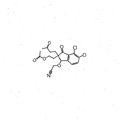 CC(=O)CCC1(CCOC(C)=O)C(=O)c2c(ccc(Cl)c2Cl)C1OCC#N